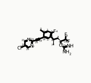 Cc1cc(F)c([C@H](C)C[C@H](OC(=N)N)C(F)F)cc1C#Cc1ncc(Cl)cn1